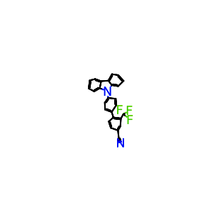 N#Cc1ccc(-c2ccc(-n3c4ccccc4c4ccccc43)cc2)c(C(F)(F)F)c1